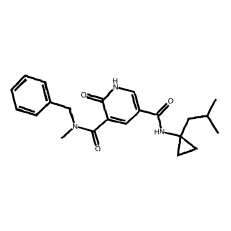 CC(C)CC1(NC(=O)c2c[nH]c(=O)c(C(=O)N(C)Cc3ccccc3)c2)CC1